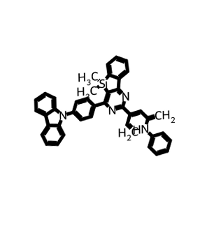 C=C/C(=C\C(=C)Nc1ccccc1)c1nc(-c2ccc(-n3c4ccccc4c4ccccc43)cc2)c2c(n1)-c1ccccc1[Si]2(C)C